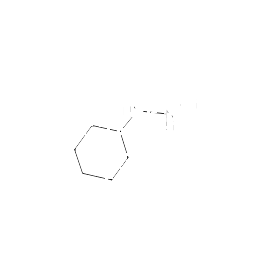 CNNC1CCCCC1